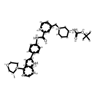 C[C@@H]1COCCN1c1ncnc2[nH]c(-c3ccc(NC(=O)c4cc(CN5CCC[C@@H](NC(=O)OC(C)(C)C)C5)ccn4)cc3)cc12